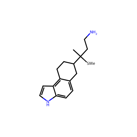 CSC(C)(CCN)C1CCc2c(ccc3[nH]ccc23)C1